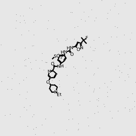 CCN1CCC(Oc2ccc(C(=O)Nc3ccc(NC(=O)Nc4cc(C(C)(C)F)no4)cc3)nc2)CC1.CS(=O)(=O)O